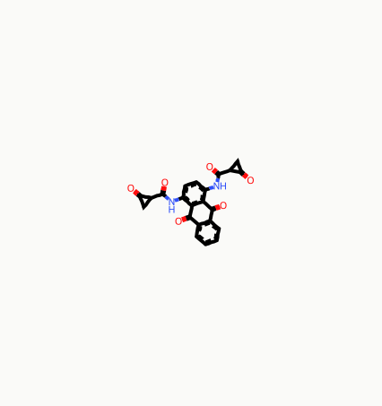 O=C1c2ccccc2C(=O)c2c(NC(=O)C3CC3=O)ccc(NC(=O)C3CC3=O)c21